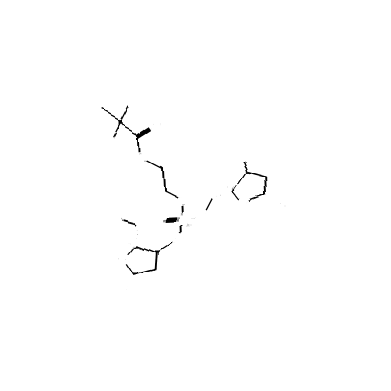 C[C@H]1CC(O)[C@@H](CO[P@](=O)(OCCSC(=O)C(C)(C)C)OC2C[C@H](C)O[C@@H]2CO)O1